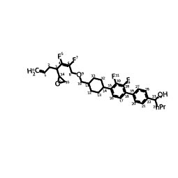 C=CCC(/C(F)=C(/F)COCC1CCC(c2ccc(-c3ccc(C(O)CCC)cc3)c(F)c2F)CC1)C1CO1